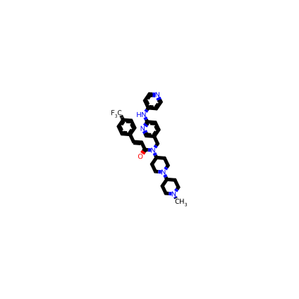 CN1CCC(N2CCC(N(Cc3ccc(Nc4ccncc4)nc3)C(=O)C=Cc3ccc(C(F)(F)F)cc3)CC2)CC1